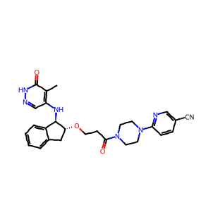 Cc1c(N[C@@H]2c3ccccc3C[C@H]2OCCC(=O)N2CCN(c3ccc(C#N)cn3)CC2)cn[nH]c1=O